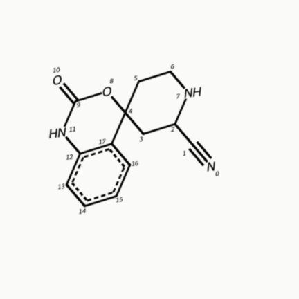 N#CC1CC2(CCN1)OC(=O)Nc1ccccc12